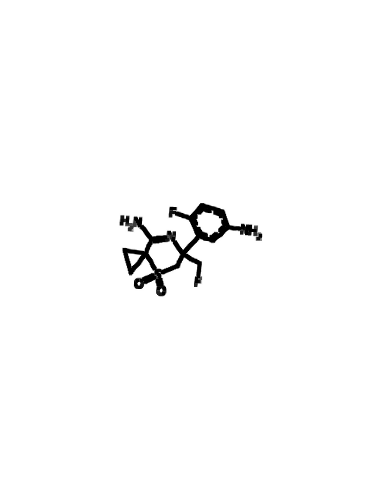 NC1=NC(CF)(c2cc(N)ccc2F)CS(=O)(=O)C12CC2